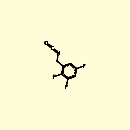 O=C=NCc1cc(F)cc(F)c1F